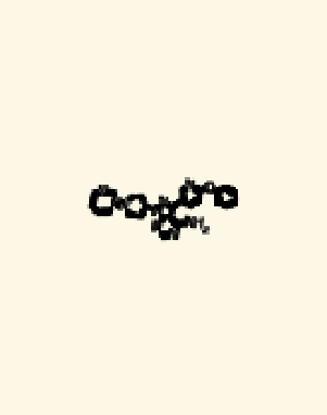 Nc1ncnc2c1c(-c1ccc(Oc3ccccc3)nc1)nn2C1CCN(N2C=CC=CN=C2)CC1